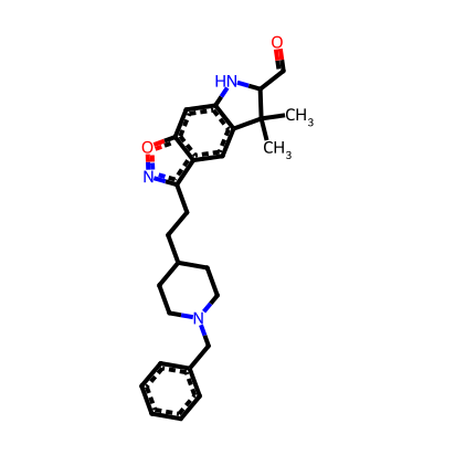 CC1(C)c2cc3c(CCC4CCN(Cc5ccccc5)CC4)noc3cc2NC1C=O